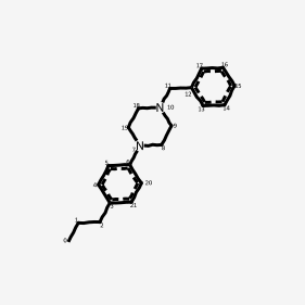 CCCc1ccc(N2CCN(Cc3ccccc3)CC2)cc1